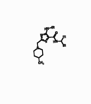 CCNc1nc(CN2CCC(C)CC2)sc1C(=O)NC(CC)CC